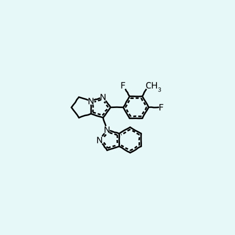 Cc1c(F)ccc(-c2nn3c(c2-n2ncc4ccccc42)CCC3)c1F